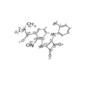 CC(C)c1ccccc1Nc1c(Nc2cccc(C(=O)N(C)C)c2N=O)c(=O)c1=O